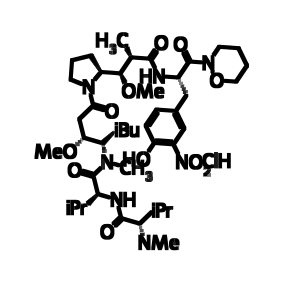 CC[C@H](C)[C@@H]([C@@H](CC(=O)N1CCC[C@H]1[C@H](OC)[C@@H](C)C(=O)N[C@@H](Cc1ccc(O)c([N+](=O)[O-])c1)C(=O)N1CCCCO1)OC)N(C)C(=O)[C@@H](NC(=O)[C@@H](NC)C(C)C)C(C)C.Cl